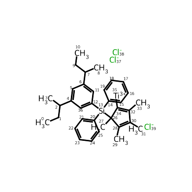 CCC(C)c1cc(C(C)CC)cc([Si](c2ccccc2)(c2ccccc2)C2(C)C(C)=C(C)C(C)=[C]2[Ti+3])c1.[Cl-].[Cl-].[Cl-]